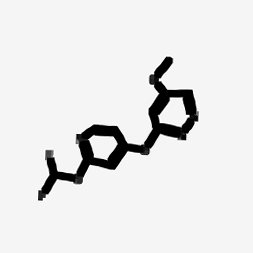 COc1cnnc(Oc2ccnc(OC(F)F)c2)c1